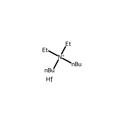 CCCC[N+](CC)(CC)CCCC.[Hf]